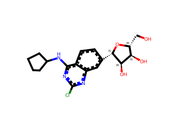 OC[C@H]1O[C@@H](c2ccc3c(NC4CCCC4)nc(Cl)nc3c2)[C@H](O)[C@@H]1O